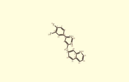 Fc1ccc(-c2cc(Oc3ccc4cccnc4c3)ncn2)cc1F